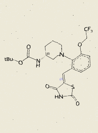 CC(C)(C)OC(=O)N[C@@H]1CCCN(c2c(/C=C3\SC(=O)NC3=O)cccc2OCC(F)(F)F)C1